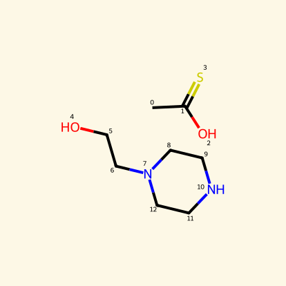 CC(O)=S.OCCN1CCNCC1